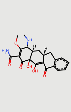 CN[C@@H]1C(OC)=C(C(N)=O)C(=O)[C@@]2(O)C(O)=C3C(=O)c4ccccc4C[C@H]3C[C@@H]12